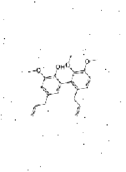 C=CCc1cc(OC)c(O)c(-c2c(CC=C)ccc(OC)c2OC)c1